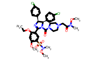 CCOc1cc(OC)c(S(=O)(=O)N(C)OC)cc1C1=N[C@@H](c2ccc(Cl)cc2)[C@@H](c2ccc(Cl)cc2)N1C(=O)N1CCN(CC(=O)N(C)OC)CC1